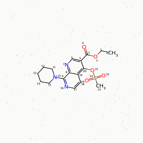 CCOC(=O)c1cnc2c(N3CCCCC3)nccc2c1OS(C)(=O)=O